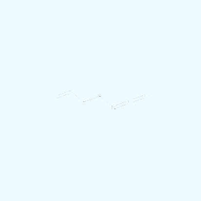 O=C=NCCC=O